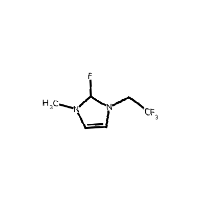 CN1C=CN(CC(F)(F)F)C1F